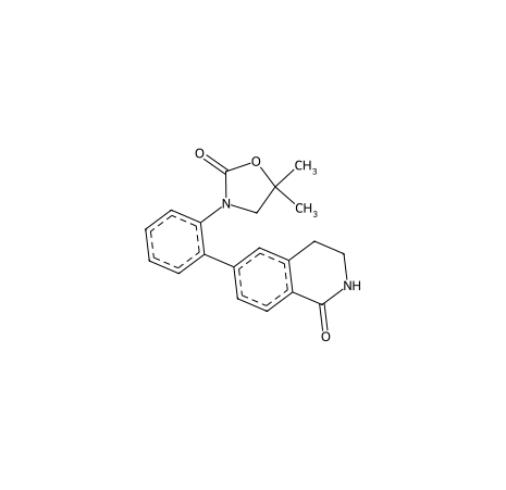 CC1(C)CN(c2ccccc2-c2ccc3c(c2)CCNC3=O)C(=O)O1